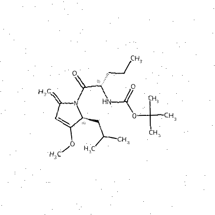 C=C1C=C(OC)[C@H](CC(C)C)N1C(=O)[C@H](CCC)NC(=O)OC(C)(C)C